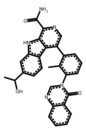 Cc1c(-c2cnc(C(N)=O)c3[nH]c4cc(C(C)O)ccc4c23)cccc1-n1cnc2ccccc2c1=O